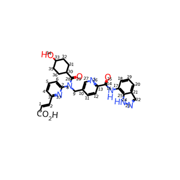 O=C(O)C=Cc1cccc(N(Cc2ccc(C(=O)Nc3cccc4cn[nH]c34)nc2)C(=O)C2CCC(O)CC2)n1